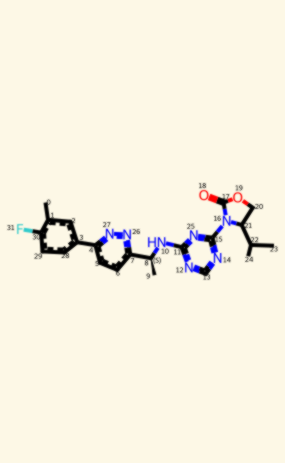 Cc1cc(-c2ccc([C@H](C)Nc3ncnc(N4C(=O)OCC4C(C)C)n3)nn2)ccc1F